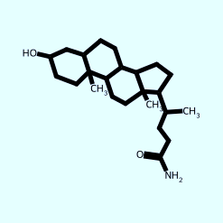 CC(CCC(N)=O)C1CCC2C3CCC4CC(O)CCC4(C)C3CCC12C